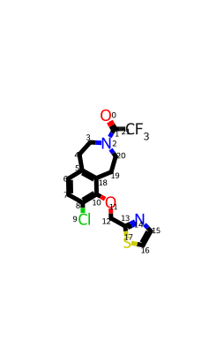 O=C(N1CCc2ccc(Cl)c(OCc3nccs3)c2CC1)C(F)(F)F